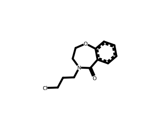 O=C1c2ccccc2OCCN1CCCCl